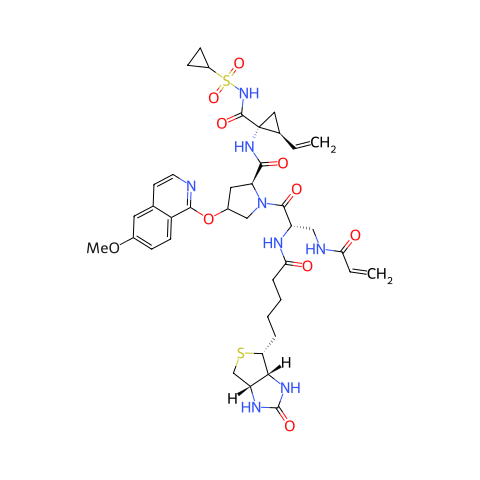 C=CC(=O)NC[C@H](NC(=O)CCCC[C@H]1SC[C@H]2NC(=O)N[C@H]21)C(=O)N1CC(Oc2nccc3cc(OC)ccc23)C[C@H]1C(=O)N[C@]1(C(=O)NS(=O)(=O)C2CC2)C[C@H]1C=C